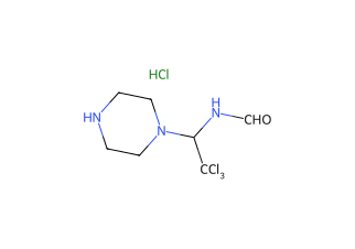 Cl.O=CNC(N1CCNCC1)C(Cl)(Cl)Cl